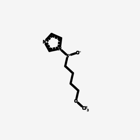 [O-][S+](CCCCOC(F)(F)F)n1ccnc1